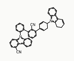 N#Cc1c(C2=CCC(n3c4c(c5ccccc53)C=CCC4)C=C2)cccc1-c1ccccc1-n1c2ccccc2c2c(C#N)cccc21